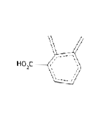 C=c1cccc(C(=O)O)c1=C